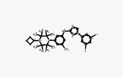 BC1(B)N(c2cc(C)cc(Nc3ncn(-c4cc(F)cc(F)c4)n3)c2)C(B)(B)C(B)(B)N(C2CCC2)C1(B)B